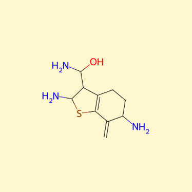 C=C1C2=C(CCC1N)C(C(N)O)C(N)S2